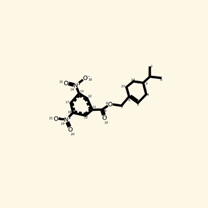 CC(C)C1CC=C(COC(=O)c2cc([N+](=O)[O-])cc([N+](=O)[O-])c2)CC1